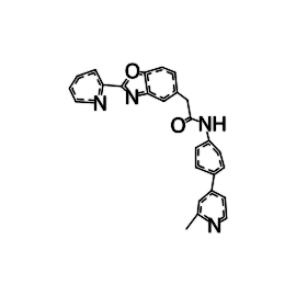 Cc1cc(-c2ccc(NC(=O)Cc3ccc4oc(-c5ccccn5)nc4c3)cc2)ccn1